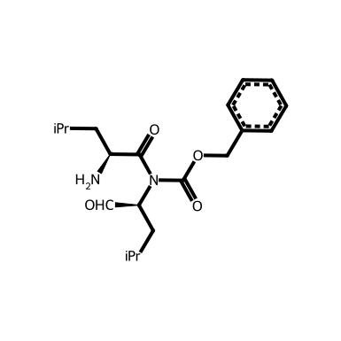 CC(C)C[C@@H](C=O)N(C(=O)OCc1ccccc1)C(=O)[C@@H](N)CC(C)C